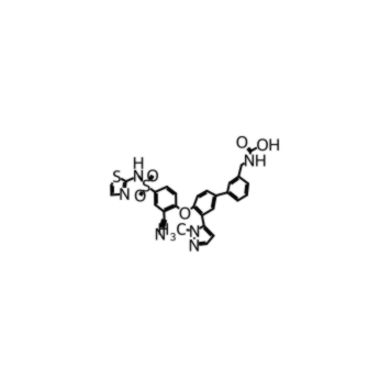 Cn1nccc1-c1cc(-c2cccc(CNC(=O)O)c2)ccc1Oc1ccc(S(=O)(=O)Nc2nccs2)cc1C#N